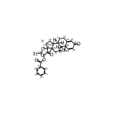 CCC(=O)O[C@@]1(C(=O)COC(=O)c2ccccc2)[C@H](C)C[C@H]2[C@@H]3CCC4=CC(=O)C=C[C@]4(C)[C@@]34O[C@H]4C[C@@]21C